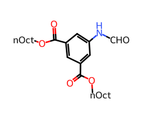 CCCCCCCCOC(=O)c1cc(NC=O)cc(C(=O)OCCCCCCCC)c1